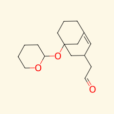 O=CCC1C=C2CCCC(OC3CCCCO3)(C2)C1